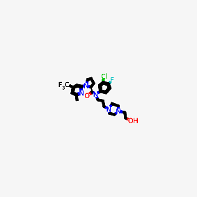 Cc1cc(C(F)(F)F)cc(N2CCC[C@H]2C(=O)N(CCCN2CCN(CCO)CC2)c2ccc(F)c(Cl)c2)n1